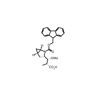 CO[C@H]([C@@H](C)C(=O)O)[C@@H]1C[C@@H]2C[C@@H]2N1C(=O)OCC1c2ccccc2-c2ccccc21